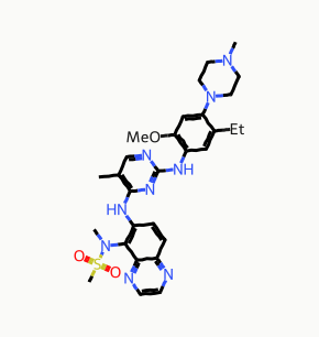 CCc1cc(Nc2ncc(C)c(Nc3ccc4nccnc4c3N(C)S(C)(=O)=O)n2)c(OC)cc1N1CCN(C)CC1